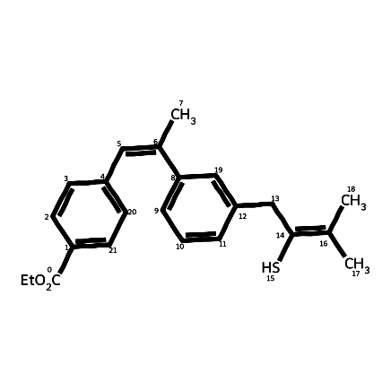 CCOC(=O)c1ccc(C=C(C)c2cccc(CC(S)=C(C)C)c2)cc1